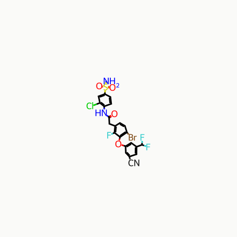 N#Cc1cc(Oc2c(Br)ccc(CC(=O)Nc3ccc(S(N)(=O)=O)cc3Cl)c2F)cc(C(F)F)c1